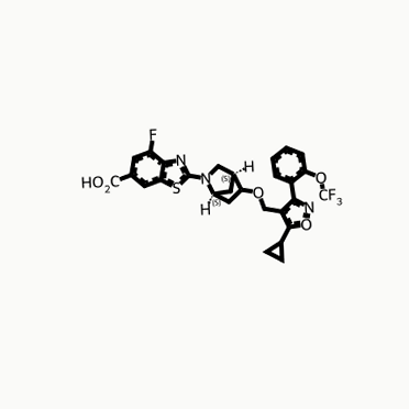 O=C(O)c1cc(F)c2nc(N3C[C@@H]4C[C@H]3CC4OCc3c(-c4ccccc4OC(F)(F)F)noc3C3CC3)sc2c1